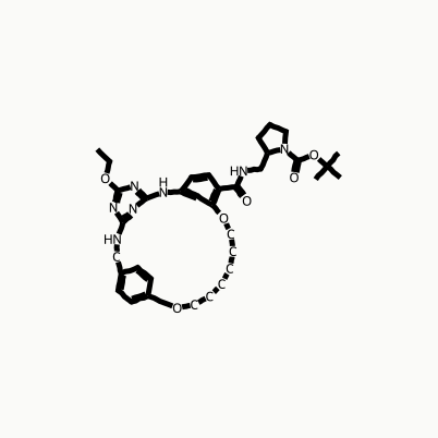 CCOc1nc2nc(n1)Nc1ccc(C(=O)NCC3CCCN3C(=O)OC(C)(C)C)c(c1)OCCCCCCOc1ccc(cc1)CN2